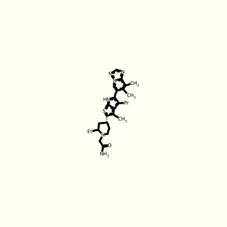 CCC1C[C@H](c2sc3[nH]c(-c4cn5ncnc5c(C)c4C)c(C(C)C)c3c2C)CCN1CC(N)=O